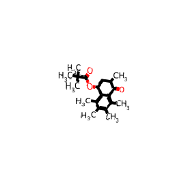 Cc1c(C)c(C)c2c(c1C)C(=O)C(C)CC2OC(=O)C(C)(C)C